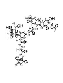 CC(=O)OCc1c(O)cc2n(c1=O)Cc1c-2nc2cc3c(cc2c1CNC(=O)OCc1ccc(OC(OC(C(=O)O)[C@H](C)O)C(O)O)c(NC(=O)CCNC(=O)CCN2C(=O)CC(C)C2=O)c1)OCO3